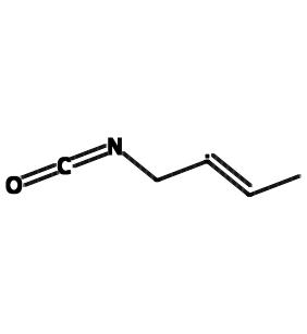 CC=[C]CN=C=O